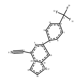 N#Cc1nc(-c2ccc(C(F)(F)F)cc2)cc2nccn12